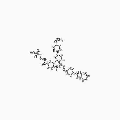 COc1cnc(-c2ccc([C@@H](COc3ccc(-c4cc5ccccc5o4)cn3)Nc3ccc(C(=O)NCCS(=O)(=O)O)cc3)cc2)nc1